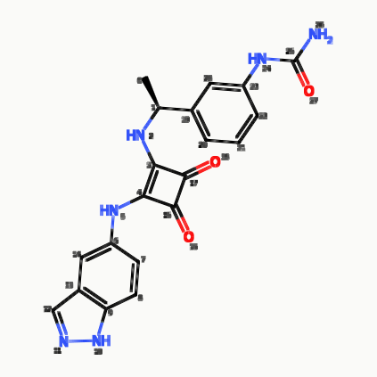 C[C@H](Nc1c(Nc2ccc3[nH]ncc3c2)c(=O)c1=O)c1cccc(NC(N)=O)c1